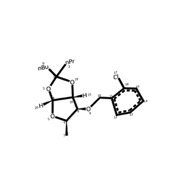 CCCCC1(CCC)O[C@H]2O[C@H](C)[C@H](OCc3ccccc3Cl)[C@H]2O1